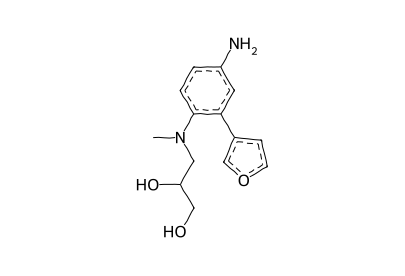 CN(CC(O)CO)c1ccc(N)cc1-c1ccoc1